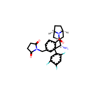 N[C@H](Cc1cc(F)c(F)cc1F)[C@H]1C[C@H]2CC[C@@H](C1)N2C(=O)c1ccc(CN2C(=O)CCC2=O)cc1